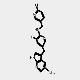 Cc1cnc2[nH]cc(Cc3cnc(NCc4ccc(Cl)nc4)c(F)c3)c2c1